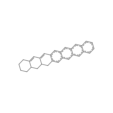 C1=C2C=C3CCCCC3CC2Cc2cc3cc4cc5ccccc5cc4cc3cc21